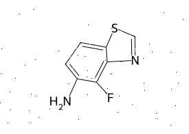 Nc1ccc2scnc2c1F